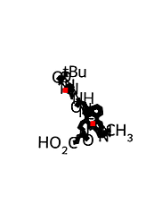 Cn1ncc2cc(F)c(-c3cccc4c3c(C3CCN(C(=O)CCC(=O)O)CC3)nn4CC(=O)NCc3cn(CC(=O)OC(C)(C)C)nn3)cc21